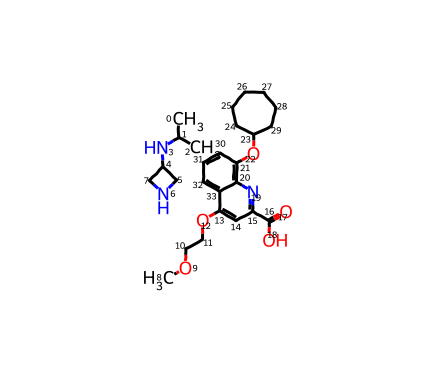 CC(C)NC1CNC1.COCCOc1cc(C(=O)O)nc2c(OC3CCCCCC3)cccc12